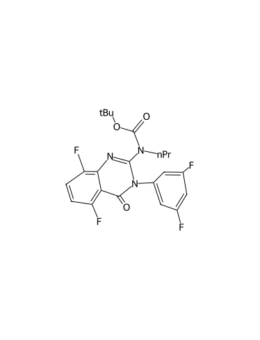 CCCN(C(=O)OC(C)(C)C)c1nc2c(F)ccc(F)c2c(=O)n1-c1cc(F)cc(F)c1